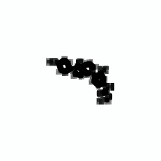 [C-]#[N+]c1cc(NC(=O)OCCC)ccc1N1CCC[C@]2(CCN([C@H]3CC[C@H](O)CC3)C2=O)C1